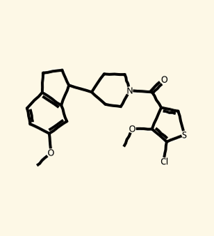 COc1ccc2c(c1)C(C1CCN(C(=O)c3csc(Cl)c3OC)CC1)CC2